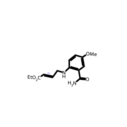 CCOC(=O)/C=C/CNc1ccc(OC)cc1C(N)=O